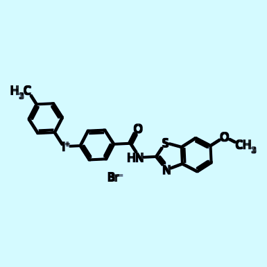 COc1ccc2nc(NC(=O)c3ccc([I+]c4ccc(C)cc4)cc3)sc2c1.[Br-]